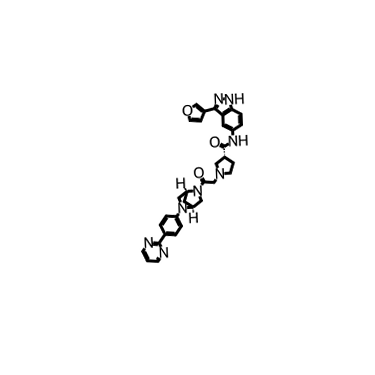 O=C(Nc1ccc2[nH]nc(-c3ccoc3)c2c1)[C@@H]1CCN(CC(=O)N2C[C@@H]3C[C@H]2CN3c2ccc(-c3ncccn3)cc2)C1